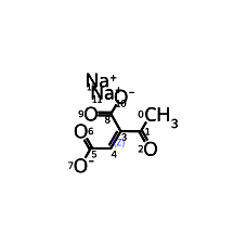 CC(=O)/C(=C/C(=O)[O-])C(=O)[O-].[Na+].[Na+]